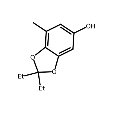 CCC1(CC)Oc2cc(O)cc(C)c2O1